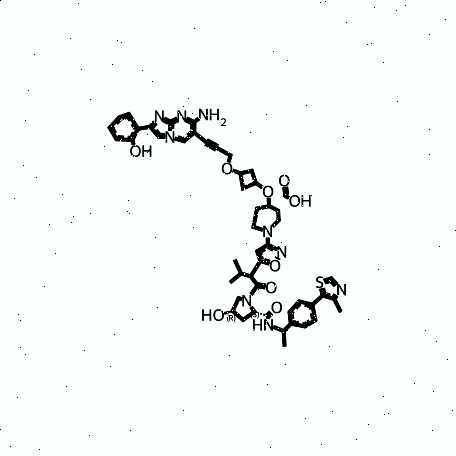 Cc1ncsc1-c1ccc(C(C)NC(=O)[C@@H]2C[C@@H](O)CN2C(=O)C(c2cc(N3CCC(OC4CC(OCC#Cc5cn6cc(-c7ccccc7O)nc6nc5N)C4)CC3)no2)C(C)C)cc1.O=CO